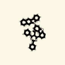 CCC1C(c2cccc3oc4cc(-n5c6ccccc6c6cc7ccccc7cc65)ccc4c23)=NC(c2ccccc2)=NC1c1ccccc1